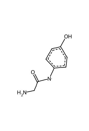 NCC(=O)[N]c1ccc(O)cc1